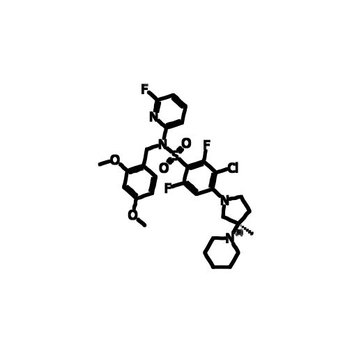 COc1ccc(CN(c2cccc(F)n2)S(=O)(=O)c2c(F)cc(N3CC[C@@](C)(N4CCCCC4)C3)c(Cl)c2F)c(OC)c1